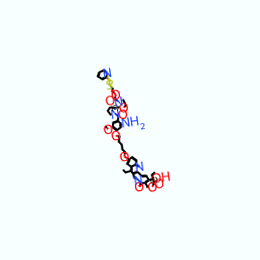 CCc1c2c(nc3ccc(OCCCCCOc4cc(N)c(C(=O)N5CCC[C@H]5C5OCCN5C(=O)OCCSSc5ccccn5)cc4OC)cc13)-c1cc3c(c(=O)n1C2)COC(=O)[C@]3(O)CC